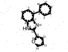 c1ccc(-c2cccc3[nH]c(-c4ccco4)nc23)cc1